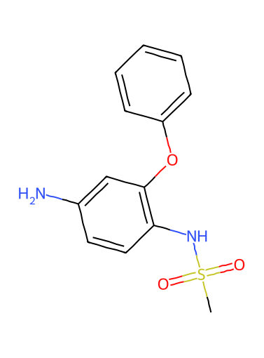 CS(=O)(=O)Nc1ccc(N)cc1Oc1ccccc1